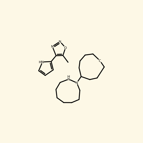 C1CCCCC(N2CCCCCCCN2)CCC1.Cc1onnc1-c1ccc[nH]1